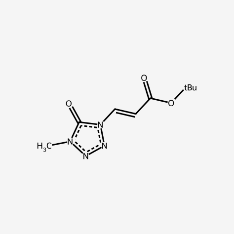 Cn1nnn(/C=C/C(=O)OC(C)(C)C)c1=O